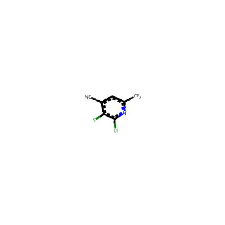 N#Cc1cc(C(F)(F)F)nc(Cl)c1F